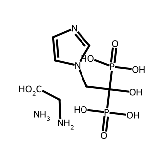 N.NCC(=O)O.O=P(O)(O)C(O)(Cn1ccnc1)P(=O)(O)O